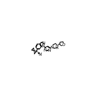 C[C@@H]1CN(c2cc(-n3ncc4ccc([C@@]5(C#N)CC56CC6)cc43)ncn2)CCN1[C@@H]1CCOC1